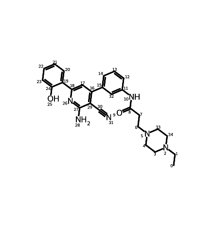 CCN1CCN(CCC(=O)Nc2cccc(-c3cc(-c4ccccc4O)nc(N)c3C#N)c2)CC1